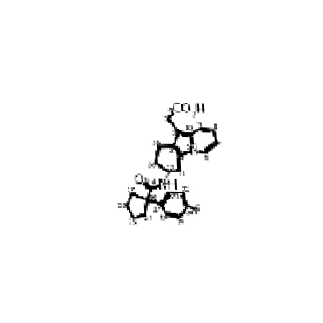 O=C(O)Cc1c2c(n3ccccc13)C[C@H](NC(=O)C1(c3ccc(F)cc3)CCCC1)CC2